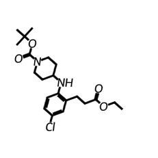 CCOC(=O)CCc1cc(Cl)ccc1NC1CCN(C(=O)OC(C)(C)C)CC1